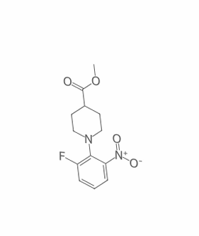 COC(=O)C1CCN(c2c(F)cccc2[N+](=O)[O-])CC1